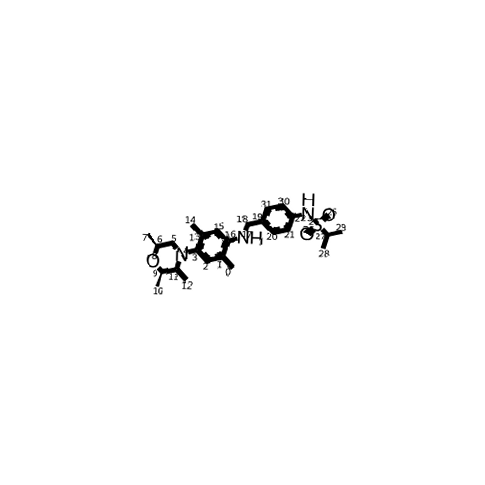 Cc1cc(N2C[C@H](C)O[C@H](C)C2C)c(C)cc1NCc1ccc(NS(=O)(=O)C(C)C)cc1